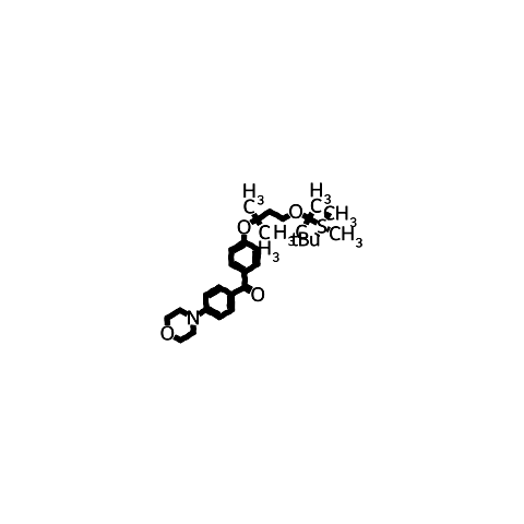 CC(C)(CCOC(C)(C)S(C)(C)C(C)(C)C)Oc1ccc(C(=O)c2ccc(N3CCOCC3)cc2)cc1